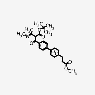 CN=C(C)C(C(=O)OC(C)(C)C)C(=O)c1ccc(C23CCC(CCC(=O)OC)(CC2)CO3)cc1